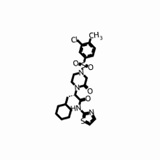 Cc1ccc(S(=O)(=O)N2CCN([C@@H](CC3CCCCC3)C(=O)Nc3nccs3)C(=O)C2)cc1Cl